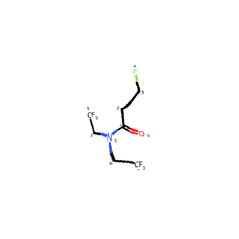 O=C(CCF)N(CC(F)(F)F)CC(F)(F)F